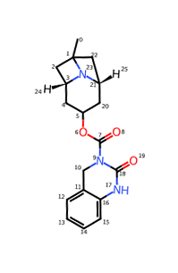 CC12C[C@H]3CC(OC(=O)N4Cc5ccccc5NC4=O)C[C@@H](C1)N32